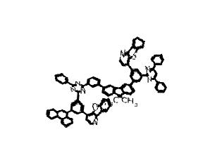 CC1(C)c2ccc(-c3cccc(-c4nc(-c5ccccc5)nc(-c5cc(-c6cc7ccccc7c7ccccc67)cc(-c6ccnc7c6oc6ccccc67)c5)n4)c3)cc2-c2cc(-c3cc(-c4nc(-c5ccccc5)cc(-c5ccccc5)n4)cc(-c4ccnc5c4sc4ccccc45)c3)ccc21